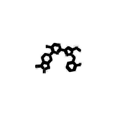 COc1cc(-c2ncc(F)c(N3CCc4c(o[nH]c4=O)C3)n2)nn1Cc1ccccc1F